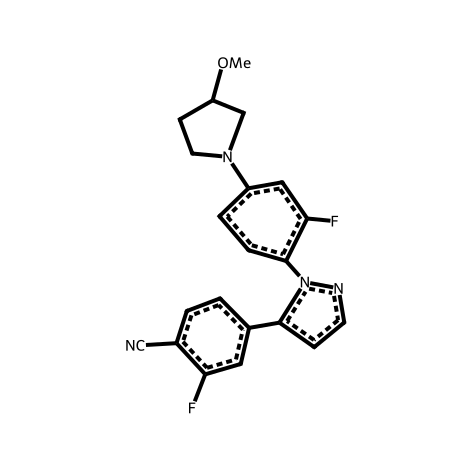 COC1CCN(c2ccc(-n3nccc3-c3ccc(C#N)c(F)c3)c(F)c2)C1